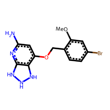 COc1cc(Br)ccc1COc1cc(N)nc2c1NNN2